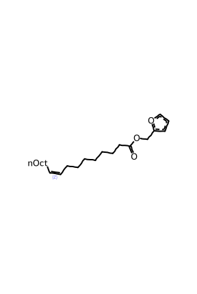 CCCCCCCC/C=C\CCCCCCCC(=O)OCc1ccco1